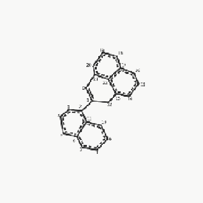 C1=C(c2cccc3ccccc23)Cc2cccc3cccc1c23